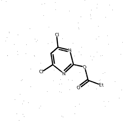 CCC(=O)Oc1nc(Cl)cc(Cl)n1